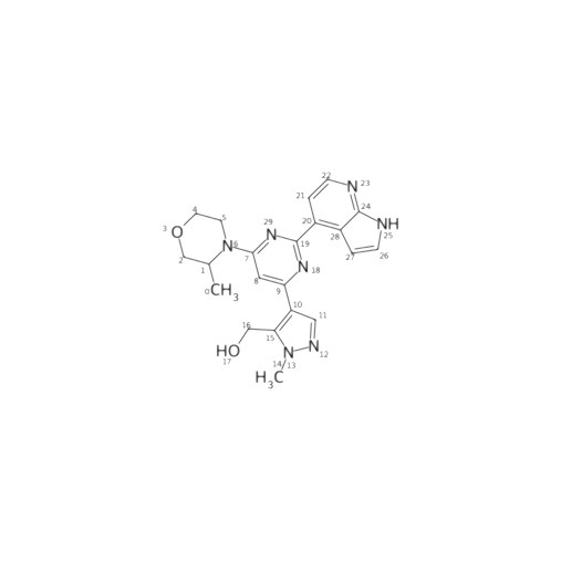 CC1COCCN1c1cc(-c2cnn(C)c2CO)nc(-c2ccnc3[nH]ccc23)n1